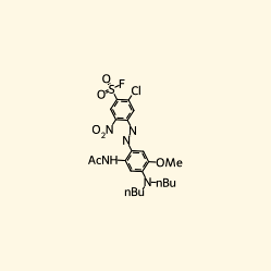 CCCCN(CCCC)c1cc(NC(C)=O)c(N=Nc2cc(Cl)c(S(=O)(=O)F)cc2[N+](=O)[O-])cc1OC